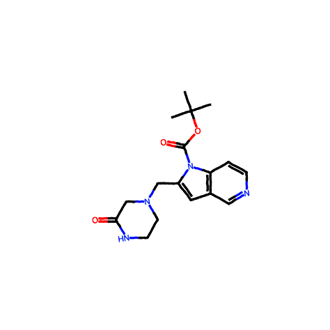 CC(C)(C)OC(=O)n1c(CN2CCNC(=O)C2)cc2cnccc21